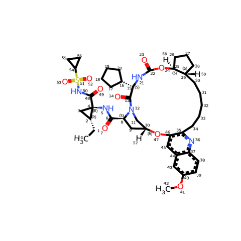 CC[C@@H]1C[C@]1(NC(=O)[C@@H]1C[C@@H]2CN1C(=O)[C@H](C1CCCC1)NC(=O)O[C@H]1CCC[C@@H]1CCCCCc1nc3ccc(OC)cc3cc1O2)C(=O)NS(=O)(=O)C1CC1